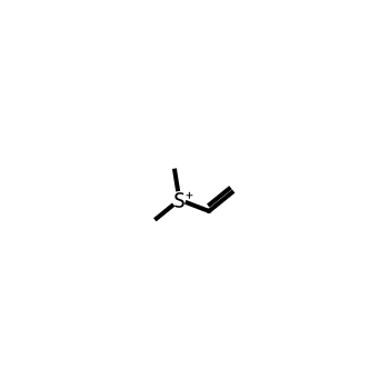 C=C[S+](C)C